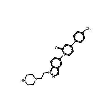 O=c1cc(-c2ccc(C(F)(F)F)cc2)ccn1-c1ccc2c(cnn2CCN2CCNCC2)c1